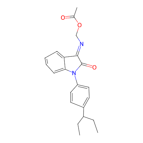 CCC(CC)c1ccc(N2C(=O)/C(=N/COC(C)=O)c3ccccc32)cc1